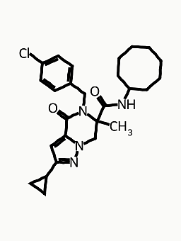 CC1(C(=O)NC2CCCCCCC2)Cn2nc(C3CC3)cc2C(=O)N1Cc1ccc(Cl)cc1